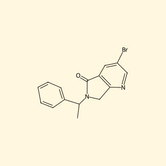 CC(c1ccccc1)N1Cc2ncc(Br)cc2C1=O